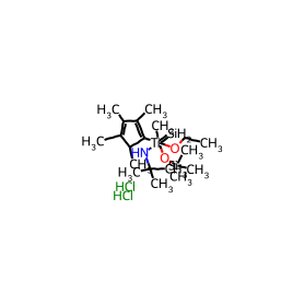 CC[O][Ti]([CH3])(=[SiH2])([NH]C(C)(C)C)([O][Si](C)(C)C)[C]1=C(C)C(C)=C(C)C1C.Cl.Cl